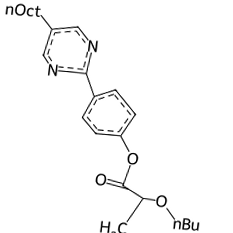 CCCCCCCCc1cnc(-c2ccc(OC(=O)C(C)OCCCC)cc2)nc1